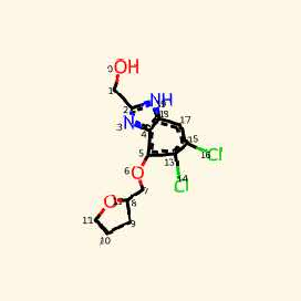 OCc1nc2c(OCC3CCCO3)c(Cl)c(Cl)cc2[nH]1